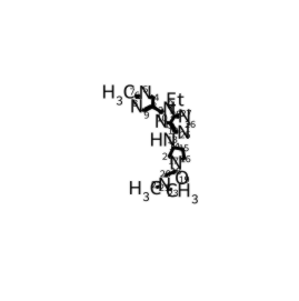 CCn1c(-c2cnc(C)nc2)nc2c(NC3CCN(C(=O)CN(C)C)C3)ncnc21